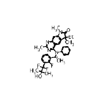 CCC1(C)C(=O)N(C)c2cc3nc(C)nc(N(c4ccccc4)[C@H](C)c4cccc(C(F)(F)C(C)(C)O)c4F)c3cc21